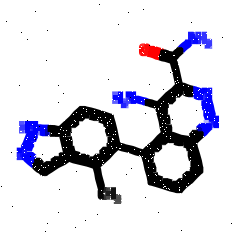 Cc1c(-c2cccc3nnc(C(N)=O)c(N)c23)ccc2[nH]ncc12